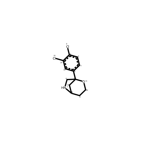 Clc1ccc(C23CNC(CCO2)C3)cc1Cl